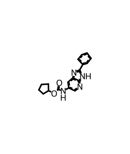 O=C(Nc1cnc2[nH]c(-c3ccccc3)nc2c1)OC1CCCC1